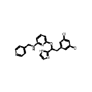 Clc1cc(Cl)cc(CC(Oc2cccc(NCc3ccncc3)n2)c2ncc[nH]2)c1